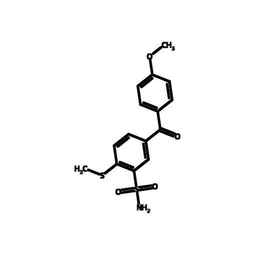 COc1ccc(C(=O)c2ccc(SC)c(S(N)(=O)=O)c2)cc1